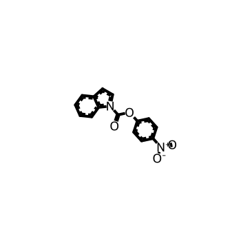 O=C(Oc1ccc([N+](=O)[O-])cc1)n1ccc2ccccc21